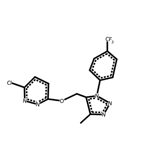 Cc1nnn(-c2ccc(C(F)(F)F)cc2)c1COc1ccc(Cl)nn1